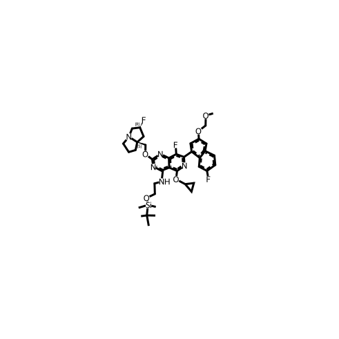 COCOc1cc(-c2nc(OC3CC3)c3c(NCCO[Si](C)(C)C(C)(C)C)nc(OC[C@@]45CCCN4C[C@H](F)C5)nc3c2F)c2cc(F)ccc2c1